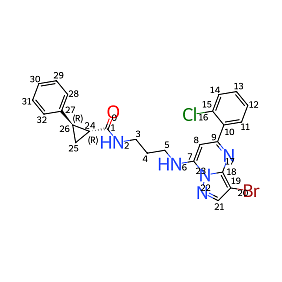 O=C(NCCCNc1cc(-c2ccccc2Cl)nc2c(Br)cnn12)[C@@H]1C[C@H]1c1ccccc1